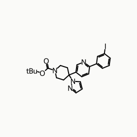 CC(C)(C)OC(=O)N1CCC(c2ccc(-c3cccc(I)c3)nc2)(n2cccn2)CC1